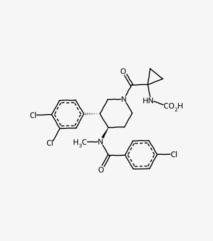 CN(C(=O)c1ccc(Cl)cc1)[C@@H]1CCN(C(=O)C2(NC(=O)O)CC2)C[C@H]1c1ccc(Cl)c(Cl)c1